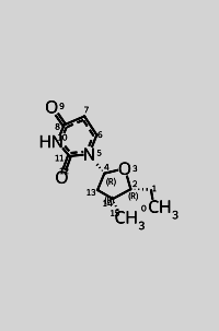 CC[C@H]1O[C@@H](n2ccc(=O)[nH]c2=O)C[C@H]1C